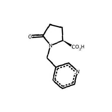 O=C(O)[C@@H]1CCC(=O)N1Cc1cccnc1